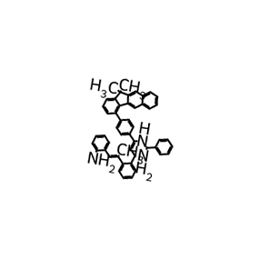 C/C(=C\c1ccccc1N)c1ccccc1C/C=C(\NC(N)c1ccccc1)c1ccc(-c2cccc3c2-c2cc4ccccc4cc2C3(C)C)cc1